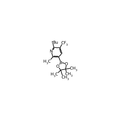 Cc1nc(C(C)(C)C)c(C(F)(F)F)cc1B1OC(C)(C)C(C)(C)O1